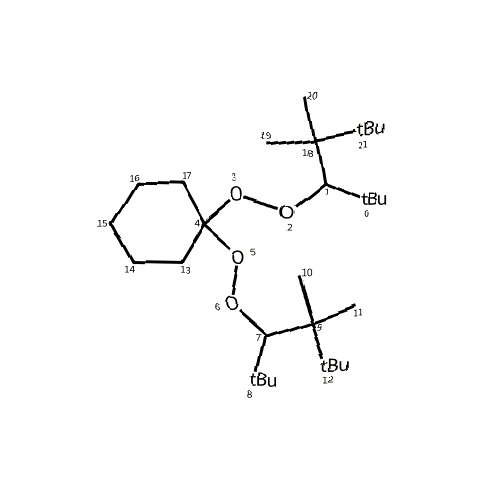 CC(C)(C)C(OOC1(OOC(C(C)(C)C)C(C)(C)C(C)(C)C)CCCCC1)C(C)(C)C(C)(C)C